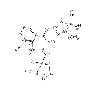 CN1c2ccc(-c3cncc(I)c3N3CCC4(CCNC4=O)CC3)cc2CS1(O)O